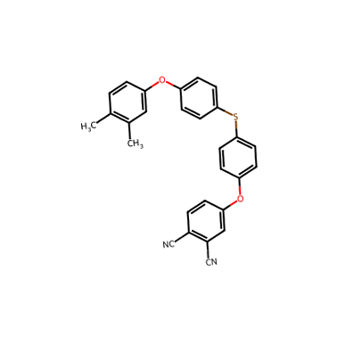 Cc1ccc(Oc2ccc(Sc3ccc(Oc4ccc(C#N)c(C#N)c4)cc3)cc2)cc1C